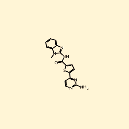 Cn1c(NC(=O)c2ccc(-c3ccnc(N)n3)s2)nc2ccccc21